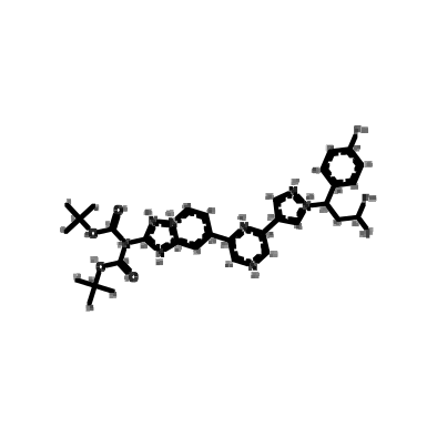 CC(C)(C)OC(=O)N(C(=O)OC(C)(C)C)c1nc2cc(-c3cncc(-c4cnn(C(CC(F)F)c5ccc(F)cc5)c4)n3)ccn2n1